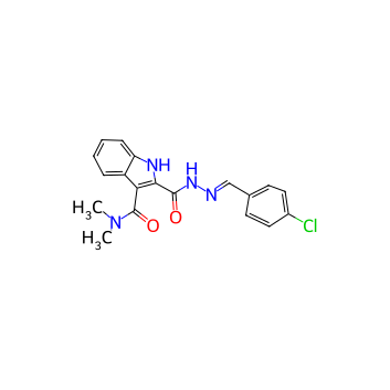 CN(C)C(=O)c1c(C(=O)NN=Cc2ccc(Cl)cc2)[nH]c2ccccc12